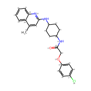 Cc1cc(NC2CCC(NC(=O)COc3ccc(Cl)cc3)CC2)nc2ccccc12